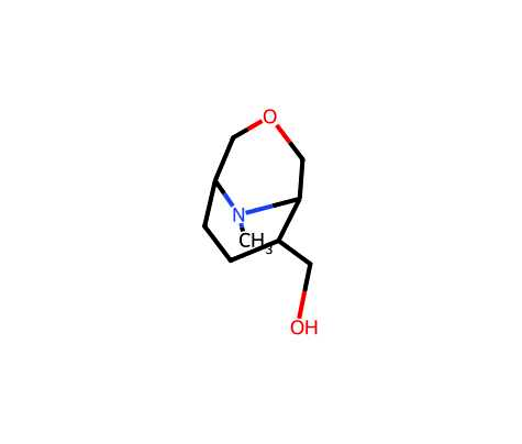 CN1C2CCC(CO)C1COC2